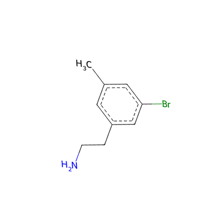 Cc1cc(Br)cc(CCN)c1